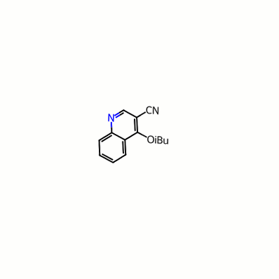 CC(C)COc1c(C#N)cnc2ccccc12